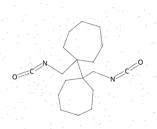 O=C=NCC1(C2(CN=C=O)CCCCCC2)CCCCCC1